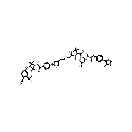 Cc1ncsc1-c1ccc([C@H](C)NC(=O)[C@@H]2C[C@@H](O)CN2C(=O)C(NC(=O)COCCc2cnn(-c3ccc(C(=O)N[C@H]4C(C)(C)[C@H](Oc5ccc(C#N)c(C(F)(F)F)c5)C4(C)C)cc3)c2)C(C)(C)C)cc1